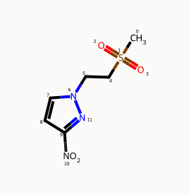 CS(=O)(=O)CCn1ccc([N+](=O)[O-])n1